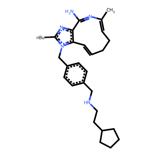 CCCCc1nc2c(n1Cc1ccc(CNCCC3CCCC3)cc1)/C=C/CC/C=C(C)/N=C\2N